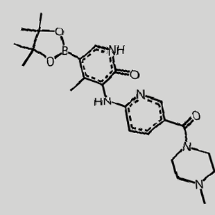 Cc1c(B2OC(C)(C)C(C)(C)O2)c[nH]c(=O)c1Nc1ccc(C(=O)N2CCN(C)CC2)cn1